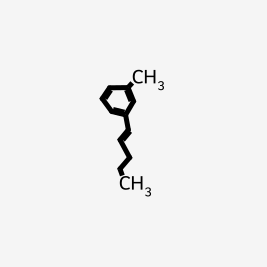 CCC/C=C/c1cccc(C)c1